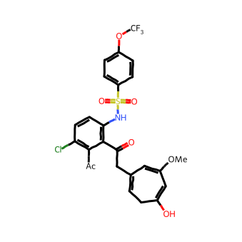 COC1=CC(CC(=O)c2c(NS(=O)(=O)c3ccc(OC(F)(F)F)cc3)ccc(Cl)c2C(C)=O)=CCC(O)=C1